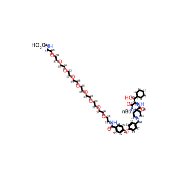 CCCCN1C(=O)[C@@H](C(O)C2CCCCC2)NC(=O)C12CCN(Cc1ccc(Oc3ccc(C(=O)NCCOCCOCCOCCOCCOCCOCCOCCOCCOCCNC(=O)O)cc3)cc1)CC2